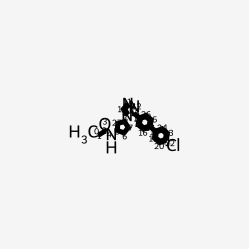 CCC(=O)N[C@H]1CC[C@@H](n2cnnc2-c2ccc(-c3ccc(Cl)cc3)cc2)C1